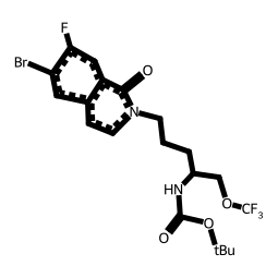 CC(C)(C)OC(=O)NC(CCCn1ccc2cc(Br)c(F)cc2c1=O)COC(F)(F)F